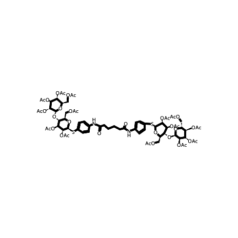 CC(=O)OC[C@H]1O[C@@H](Sc2ccc(NC(=O)CCCCC(=O)Nc3ccc(S[C@@H]4O[C@H](COC(C)=O)[C@@H](O[C@H]5O[C@H](COC(C)=O)[C@@H](OC(C)=O)[C@H](OC(C)=O)[C@H]5OC(C)=O)[C@H](OC(C)=O)[C@H]4OC(C)=O)cc3)cc2)[C@H](OC(C)=O)[C@@H](OC(C)=O)[C@@H]1O[C@H]1O[C@H](COC(C)=O)[C@@H](OC(C)=O)[C@H](OC(C)=O)[C@H]1OC(C)=O